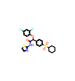 O=C(Nc1nccs1)C(Oc1ccc(F)cc1F)c1ccc(S(=O)(=O)C2CCCCC2)cc1